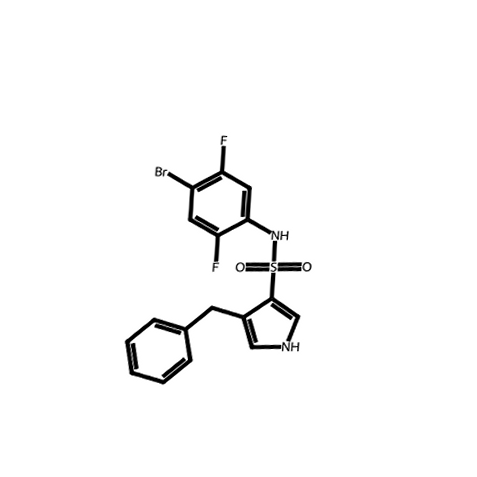 O=S(=O)(Nc1cc(F)c(Br)cc1F)c1c[nH]cc1Cc1ccccc1